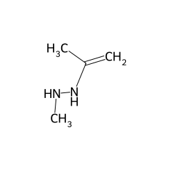 C=C(C)NNC